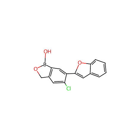 OB1OCc2cc(Cl)c(-c3cc4ccccc4o3)cc21